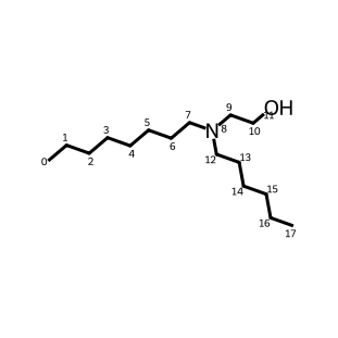 CCCCCCCCN(CCO)CCCCCC